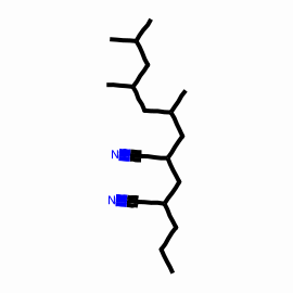 CCCC(C#N)CC(C#N)CC(C)CC(C)CC(C)C